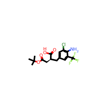 CC(C)(C)OC(=O)C[C@H](Cc1cc(Cl)c(N)c(C(F)(F)F)c1)C(=O)O